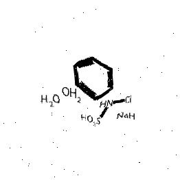 O.O.O=S(=O)(O)NCl.[NaH].c1ccccc1